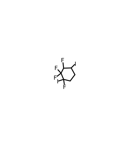 FC1C(I)CCC(F)(I)C1(F)F